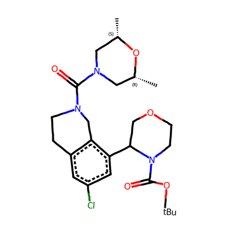 C[C@@H]1CN(C(=O)N2CCc3cc(Cl)cc(C4COCCN4C(=O)OC(C)(C)C)c3C2)C[C@H](C)O1